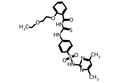 CCOCCOc1ccccc1C(=O)NC(=S)Nc1ccc(S(=O)(=O)Nc2nc(C)cc(C)n2)cc1